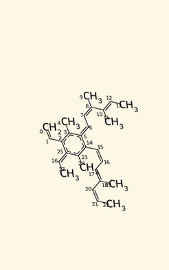 C=Cc1c(C)\c(=C/C=C(C)\C(C)=C\C)c(\C=C/C=C(C)/C=C\C)c(C)/c1=C\C